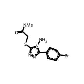 CNC(=O)CSc1nnc(-c2ccc(Br)cc2)n1N